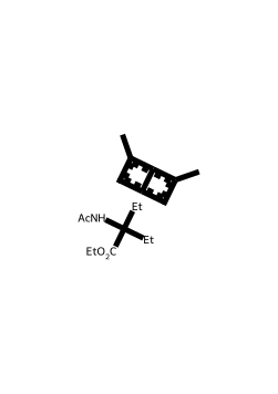 CCOC(=O)C(CC)(CC)NC(C)=O.Cc1cc2cc(C)c1-2